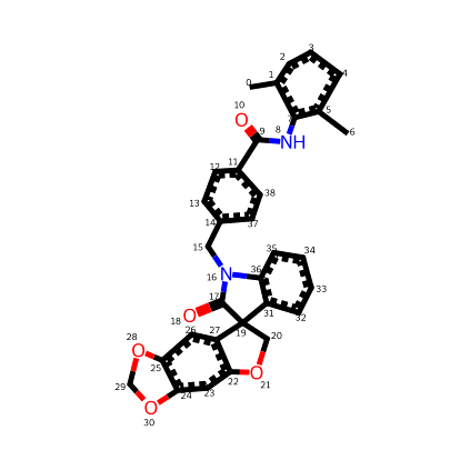 Cc1cccc(C)c1NC(=O)c1ccc(CN2C(=O)C3(COc4cc5c(cc43)OCO5)c3ccccc32)cc1